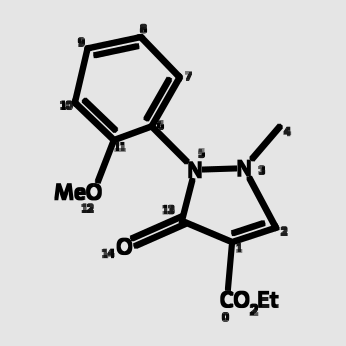 CCOC(=O)c1cn(C)n(-c2ccccc2OC)c1=O